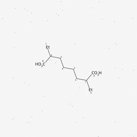 CCC(CCCCC(CC)C(=O)O)C(=O)O